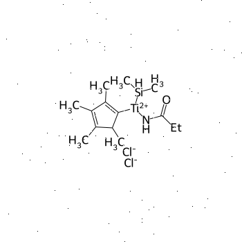 CCC(=O)[NH][Ti+2]([C]1=C(C)C(C)=C(C)C1C)[SiH](C)C.[Cl-].[Cl-]